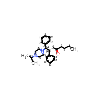 CCCCC(=O)C[C@H](c1ccccc1)[C@H](c1ccccc1)N1CCN(C(C)C)CC1